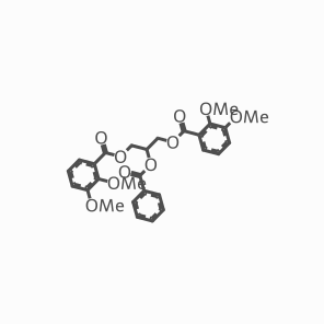 COc1cccc(C(=O)OCC(COC(=O)c2cccc(OC)c2OC)OC(=O)c2ccccc2)c1OC